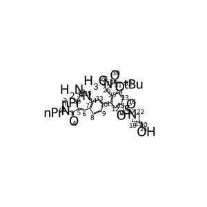 CCCN(CCC)C(=O)C1=Cc2ccc(-c3cc(S(=O)(=O)N4CC(CO)C4)ccc3CN(C)C(=O)OC(C)(C)C)cc2N=C(N)C1